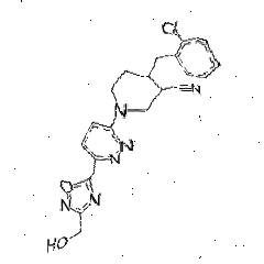 N#CC1CN(c2ccc(-c3nc(CO)no3)nn2)CCC1Cc1ccccc1Cl